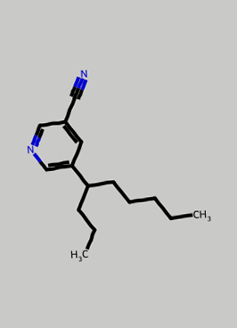 CCCCCC(CCC)c1cncc(C#N)c1